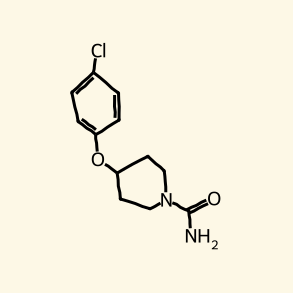 NC(=O)N1CCC(Oc2ccc(Cl)cc2)CC1